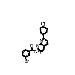 O=C(Nc1ccc2ccc(-c3ccc(Cl)cc3)nc2n1)c1cccc(Br)c1